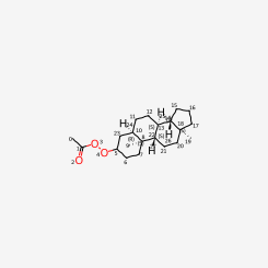 CC(=O)OOC1CC[C@@]2(C)[C@H](CC[C@H]3[C@@H]4CCC[C@@]4(C)CC[C@@H]32)C1